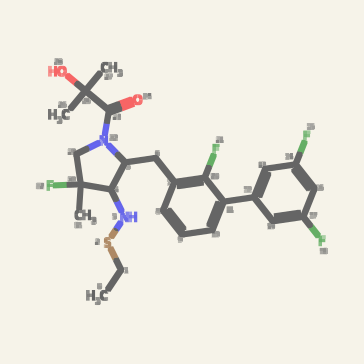 CCSNC1C(Cc2cccc(-c3cc(F)cc(F)c3)c2F)N(C(=O)C(C)(C)O)CC1(C)F